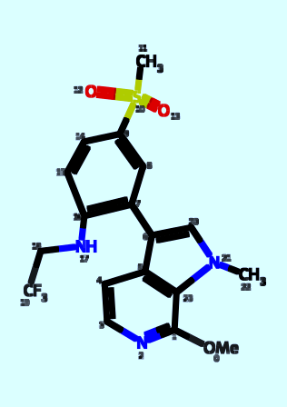 COc1nccc2c(-c3cc(S(C)(=O)=O)ccc3NCC(F)(F)F)cn(C)c12